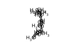 COc1ccc2c(c1)CN1C(=O)c3cc(OC)c(OCCCOc4cc5c(cc4OC)C(=O)N4C=C(c6ccc(NC(=O)[C@H](C)NC(=O)C(N)C(C)C)cc6)C[C@H]4C=N5)cc3N=C[C@@H]1C2